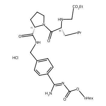 CCCCCCOC(=O)N=C(N)c1ccc(CNC(=O)[C@@H]2CCCN2C(=O)[C@@H](CC(C)C)NCC(=O)OCC)cc1.Cl